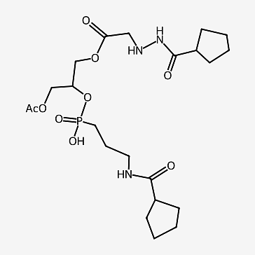 CC(=O)OCC(COC(=O)CNNC(=O)C1CCCC1)OP(=O)(O)CCCNC(=O)C1CCCC1